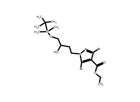 CCOC(=O)c1c(Br)nn(CCC(O)CO[Si](C)(C)C(C)(C)C)c1Br